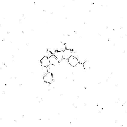 Cc1c(-c2ccccn2)cccc1S(=O)(=O)N[C@@H](C(N)=O)C(=O)N1CCN(C(C)C)CC1